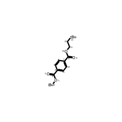 CCC(C)OC(=O)c1ccc(C(=O)OCCC(C)(C)C)cc1